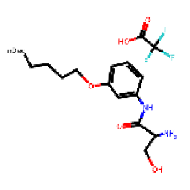 CCCCCCCCCCCCCCOc1cccc(NC(=O)C(N)CO)c1.O=C(O)C(F)(F)F